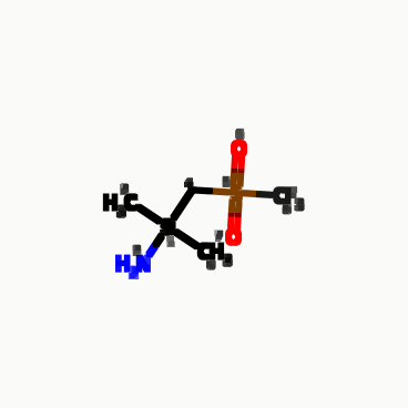 C[Si](C)(N)CS(=O)(=O)C(F)(F)F